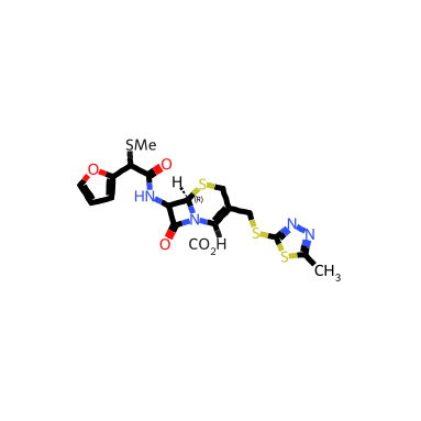 CSC(C(=O)NC1C(=O)N2C(C(=O)O)=C(CSc3nnc(C)s3)CS[C@H]12)c1ccco1